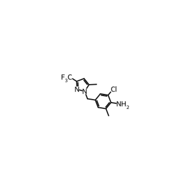 Cc1cc(Cn2nc(C(F)(F)F)cc2C)cc(Cl)c1N